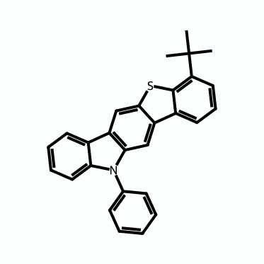 CC(C)(C)c1cccc2c1sc1cc3c4ccccc4n(-c4ccccc4)c3cc12